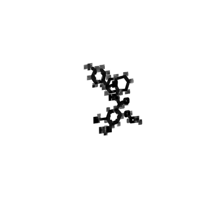 COc1cc(N)c(Br)cc1C(=O)NC12CCCC(CCC1)N2Cc1ccc(F)cc1